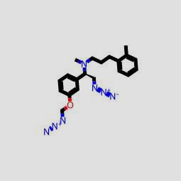 Cc1ccccc1CCCN(C)[C@@H](CN=[N+]=[N-])c1cccc(OCN=[N+]=[N-])c1